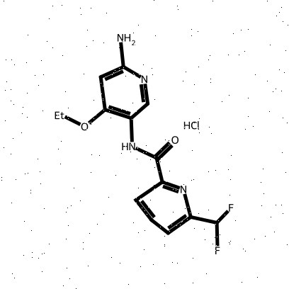 CCOc1cc(N)ncc1NC(=O)c1cccc(C(F)F)n1.Cl